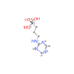 O[Si](O)(O)CCCNc1ncncn1